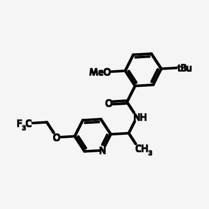 COc1ccc(C(C)(C)C)cc1C(=O)NC(C)c1ccc(OCC(F)(F)F)cn1